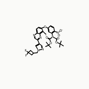 CC(C)(C)OC(=O)N(C(=O)OC(C)(C)C)c1cc(Oc2ccc3ncc(-c4cnn(CC5CC(F)(F)C5)c4)nc3c2I)ccc1[N+](=O)[O-]